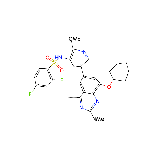 CNc1nc(C)c2cc(-c3cnc(OC)c(NS(=O)(=O)c4ccc(F)cc4F)c3)cc(OC3CCCCC3)c2n1